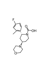 Cc1cc(F)ccc1[C@H]1C[C@H](N2CCOCC2)CCN1C(=O)O